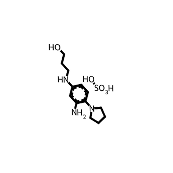 Nc1cc(NCCCO)ccc1N1CCCC1.O=S(=O)(O)O